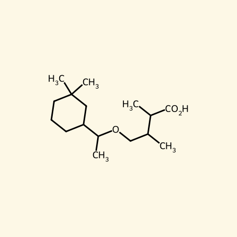 CC(COC(C)C1CCCC(C)(C)C1)C(C)C(=O)O